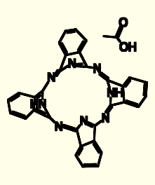 CC(=O)O.c1ccc2c(c1)-c1nc-2nc2[nH]c(nc3nc(nc4[nH]c(n1)c1ccccc41)-c1ccccc1-3)c1ccccc21